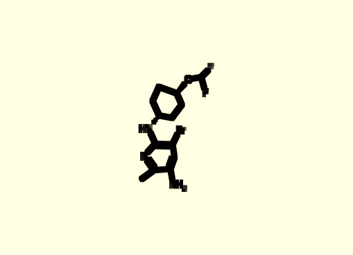 Cc1nc(N[C@H]2CC[C@H](OC(F)F)CC2)c(Br)cc1N